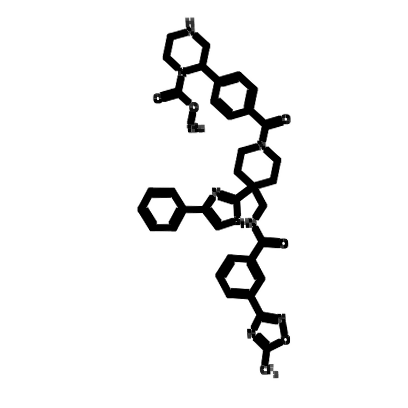 CC(C)(C)OC(=O)N1CCNCC1c1ccc(C(=O)N2CCC(CNC(=O)c3cccc(-c4noc(C(F)(F)F)n4)c3)(c3nc(-c4ccccc4)cs3)CC2)cc1